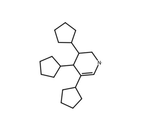 C1=C(C2CCCC2)C(C2CCCC2)C(C2CCCC2)C[N]1